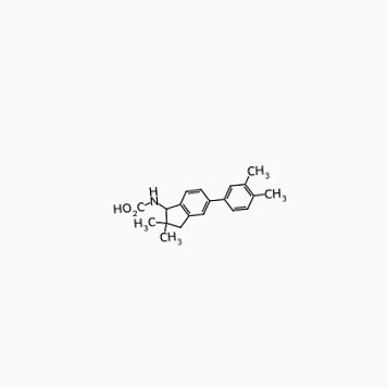 Cc1ccc(-c2ccc3c(c2)CC(C)(C)C3NC(=O)O)cc1C